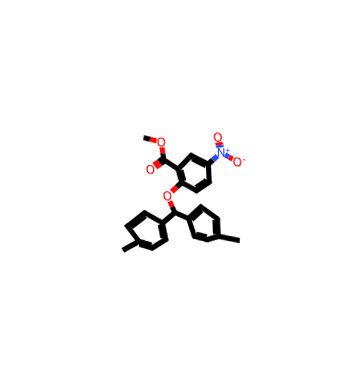 COC(=O)c1cc([N+](=O)[O-])ccc1OC(c1ccc(C)cc1)c1ccc(C)cc1